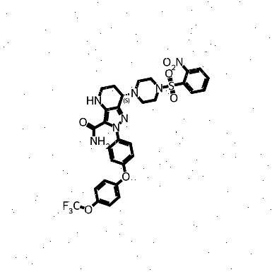 NC(=O)c1c2c(nn1-c1ccc(Oc3ccc(OC(F)(F)F)cc3)cc1)[C@@H](N1CCN(S(=O)(=O)c3ccccc3[N+](=O)[O-])CC1)CCN2